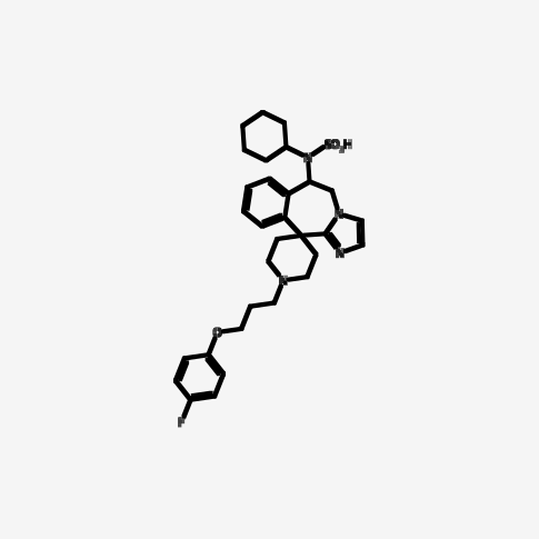 O=S(=O)(O)N(C1CCCCC1)C1Cn2ccnc2C2(CCN(CCCOc3ccc(F)cc3)CC2)c2ccccc21